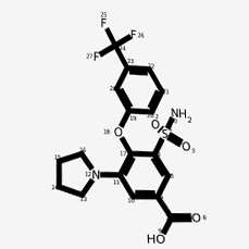 NS(=O)(=O)c1cc(C(=O)O)cc(N2CCCC2)c1Oc1cccc(C(F)(F)F)c1